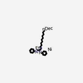 CCCCCCCCCCCCCCCCCCC/C=C/C(=N\c1ccccc1)C(/CC)=N/c1ccccc1.[Ni]